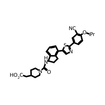 CC(C)Oc1ccc(-c2ncc(-c3cccc4c3CCC4NC(=O)N3CCC(CC(=O)O)CC3)s2)cc1C#N